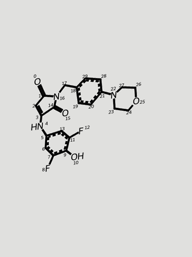 O=C1C=C(Nc2cc(F)c(O)c(F)c2)C(=O)N1Cc1ccc(N2CCOCC2)cc1